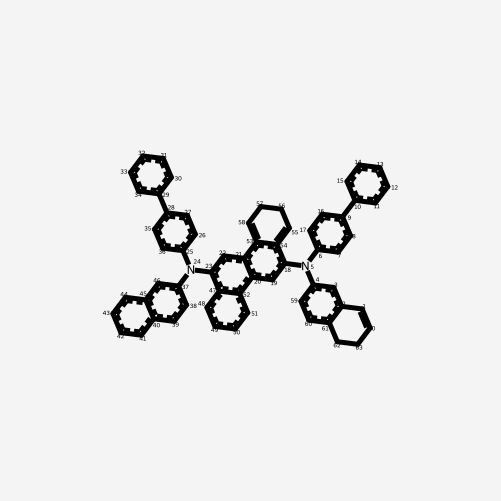 C1=Cc2cc(N(c3ccc(-c4ccccc4)cc3)c3cc4c(cc(N(c5ccc(-c6ccccc6)cc5)c5ccc6ccccc6c5)c5ccccc54)c4c3=CCCC=4)ccc2CC1